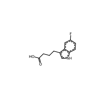 O=C(O)CCCc1c[nH]c2ccc(F)cc12